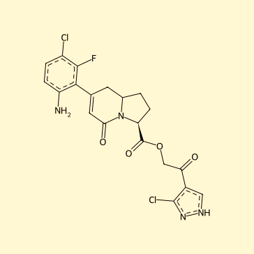 Nc1ccc(Cl)c(F)c1C1=CC(=O)N2C(CC[C@H]2C(=O)OCC(=O)c2c[nH]nc2Cl)C1